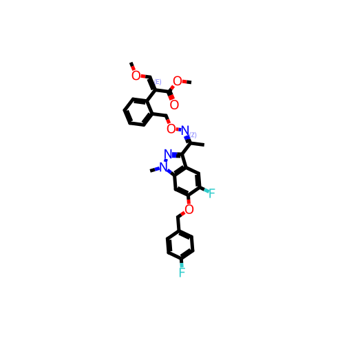 CO/C=C(/C(=O)OC)c1ccccc1CO/N=C(/C)c1nn(C)c2cc(OCc3ccc(F)cc3)c(F)cc12